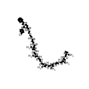 Cn1cc(NC(=O)c2nccn2C)nc1C(=O)NCCC(=O)Nc1cn(C)c(C(=O)Nc2cn(C)c(C(=O)NCCC(=O)Nc3cn(C)c(C(=O)Nc4cn(C)c(C(=O)NCCC(=O)NCCOCCNC(=O)C5CC(=O)N(CCC67CC8CC(C6)C(C8)C7)/C(=N/c6ccc(Cl)cc6)S5)n4)n3)n2)n1